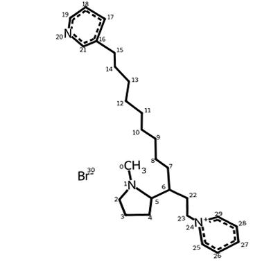 CN1CCCC1C(CCCCCCCCCc1cccnc1)CC[n+]1ccccc1.[Br-]